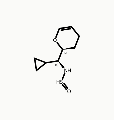 O=[SH]N[C@@H](C1CC1)[C@@H]1CCC=CO1